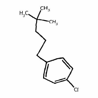 CC(C)(C)CCCc1ccc(Cl)cc1